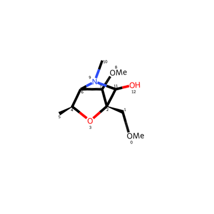 COC[C@@]12O[C@@H](C)C(C1OC)N(C)C2O